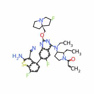 C=CC(=O)N1CC[C@@H](N(CC)c2nc(OC[C@@]34CCCN3C[C@H](F)C4)nc3cc(-c4ccc(F)c5sc(N)c(C#N)c45)c(F)cc23)[C@H]1CC